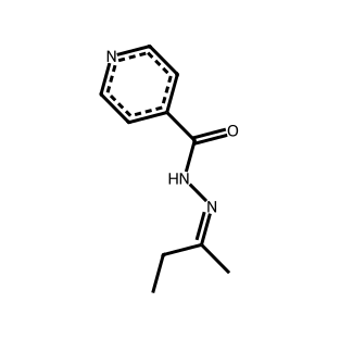 CC/C(C)=N\NC(=O)c1ccncc1